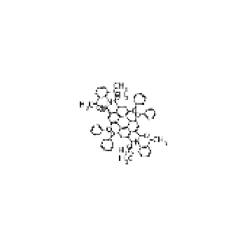 CCc1cccc(C(C)C)c1N1C(=O)c2cc(Oc3ccccc3)c3c4c(Oc5ccccc5)cc5c6c(cc(Oc7ccccc7)c(c7c(Oc8ccccc8)cc(c2c37)C1=O)c64)C(=O)N(c1c(C(C)C)cccc1C(C)C)C5=O